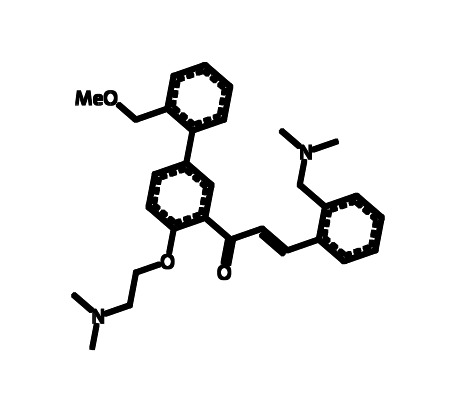 COCc1ccccc1-c1ccc(OCCN(C)C)c(C(=O)/C=C/c2ccccc2CN(C)C)c1